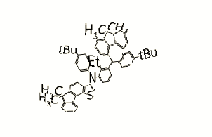 CCc1c(C(c2ccc(C(C)(C)C)cc2)c2cccc3c2-c2ccccc2C3(C)C)cccc1N(c1ccc(C(C)(C)C)cc1)c1csc2c3c(ccc12)C(C)(C)c1ccccc1-3